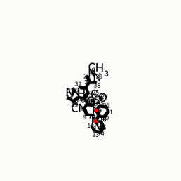 Cn1cc(-c2cc(-c3ccc(N4CC5CC(C4)N5Cc4cccc(S(C)(=O)=O)c4)nc3)c3c(C#N)cnn3c2)cn1